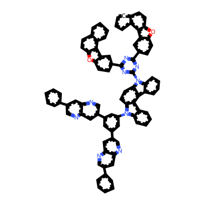 c1ccc(-c2cnc3cc(-c4cc(-c5cnc6cc(-c7ccccc7)cnc6c5)cc(-n5c6ccccc6c6c7c8ccccc8n(-c8nc(-c9ccc%10oc%11ccc%12ccccc%12c%11c%10c9)nc(-c9ccc%10oc%11ccc%12ccccc%12c%11c%10c9)n8)c7ccc65)c4)cnc3c2)cc1